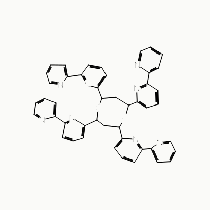 c1ccc(-c2cccc(C3CC(c4cccc(-c5ccccn5)n4)CC(c4cccc(-c5ccccn5)n4)CC(c4cccc(-c5ccccn5)n4)C3)n2)nc1